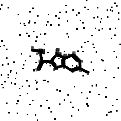 CNC(=O)c1nc2cc(C)ccc2[nH]1